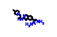 C=C(CN1CCC(C)CC1)Nc1cc2cc(/C(=C/N)N(C)N)ccc2cn1